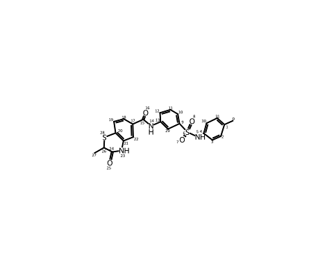 Cc1ccc(NS(=O)(=O)c2cccc(NC(=O)c3ccc4c(c3)NC(=O)C(C)S4)c2)cc1